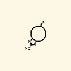 CC(C)C1CCCCCC2SC(C#N)=NC2CCCC1